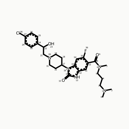 CN(C)CCCN(C)C(=O)c1cc2[nH]c(=O)n(C3CCN(CC(O)c4ccc(Cl)cc4)CC3)c2cc1F